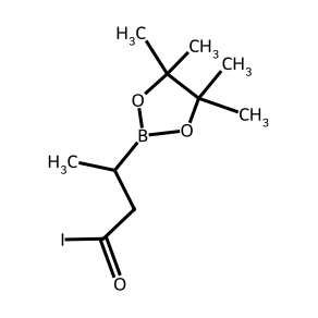 CC(CC(=O)I)B1OC(C)(C)C(C)(C)O1